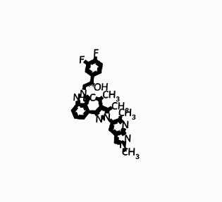 Cc1nc2nn(C)cc2cc1-n1nc(-c2cccc3nn(C[C@H](O)c4ccc(F)c(F)c4)cc23)c(C(C)C)c1C